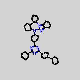 C1=CC2=C(CC1)N(c1ccc(-c3nc(-c4ccccc4)nc(-c4ccc(-c5ccccc5)cc4)n3)cc1)c1nc3ccccc3n1-c1ccccc12